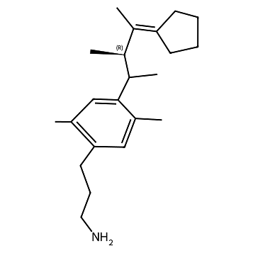 CC(=C1CCCC1)[C@H](C)C(C)c1cc(C)c(CCCN)cc1C